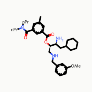 CCCN(CCC)C(=O)c1cc(C)cc(C(=O)O[C@H](CNCc2cccc(OC)c2)[C@@H](N)CC2CCCCC2)c1